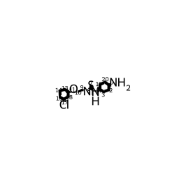 Nc1ccc(NC(=S)NCCOc2cccc(Cl)c2)cc1